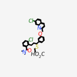 CN(C)C(=O)c1cccc(Cl)c1CCC(SCCC(=O)O)c1cccc(OCc2ccc3ccc(Cl)cc3n2)c1